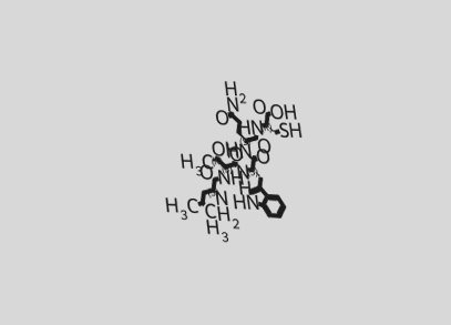 CC(C)C[C@H](N)C(=O)N[C@H](C(=O)N[C@@H](Cc1c[nH]c2ccccc12)C(=O)N[C@@H](CCC(N)=O)C(=O)N[C@@H](CS)C(=O)O)[C@@H](C)O